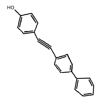 Oc1ccc(C#Cc2ccc(-c3ccccc3)cc2)cc1